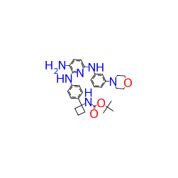 CC(C)(C)OC(=O)NC1(c2ccc(Nc3nc(Nc4cccc(N5CCOCC5)c4)ccc3N)cc2)CCC1